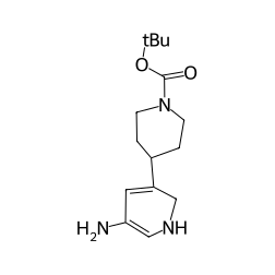 CC(C)(C)OC(=O)N1CCC(C2=CC(N)=CNC2)CC1